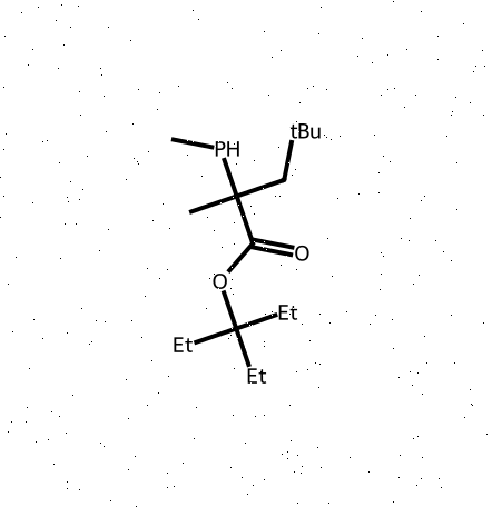 CCC(CC)(CC)OC(=O)C(C)(CC(C)(C)C)PC